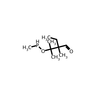 CCC(C)(C=O)C(C)(C)OPC